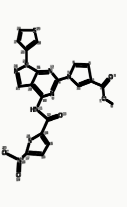 COC(=O)c1ccn(-c2nc(NC(=O)c3ccc([N+](=O)[O-])s3)c3cnn(-c4ccsc4)c3n2)c1